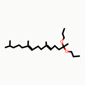 CCCOC(C)(CC/C=C(\C)CC/C=C(\C)CCCC(C)C)OCCC